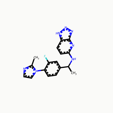 Cc1nccn1-c1ccc(C(C)Nc2ccc3[nH]nnc3n2)cc1F